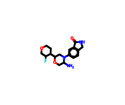 NC1COC(C2CCOCC2F)CN1c1ccc2c(c1)C(=O)NC2